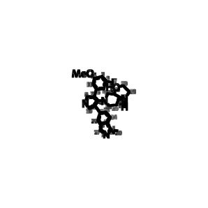 COc1cc(F)cc(-c2cncc(-c3ccc4c(cnn4C)c3)c2N2CC[C@H]3NCCO[C@@H]3C2)c1